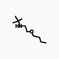 CCCCOCCNC(C)(C)C